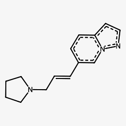 C(=Cc1ccc2ccnn2c1)CN1CCCC1